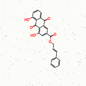 O=C(OCC=Cc1ccccc1)c1cc(O)c2c(c1)C(=O)c1cccc(O)c1C2=O